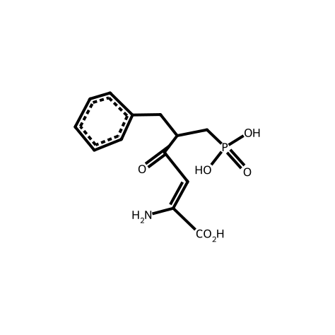 NC(=CC(=O)C(Cc1ccccc1)CP(=O)(O)O)C(=O)O